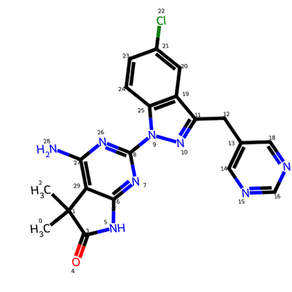 CC1(C)C(=O)Nc2nc(-n3nc(Cc4cncnc4)c4cc(Cl)ccc43)nc(N)c21